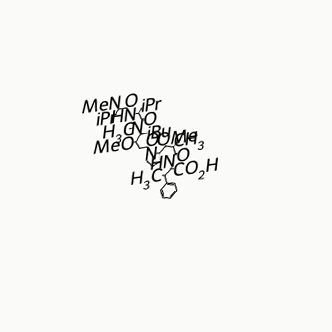 CC[C@H](C)[C@@H]([C@@H](CC(=O)N1CCC[C@H]1[C@H](OC)[C@@H](C)C(=O)NC(C(=O)O)C(C)c1ccccc1)OC)N(C)C(=O)[C@@H](NC(=O)C(NC)C(C)C)C(C)C